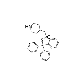 O=C(CC1CCNCC1)SC(c1ccccc1)(c1ccccc1)c1ccccc1